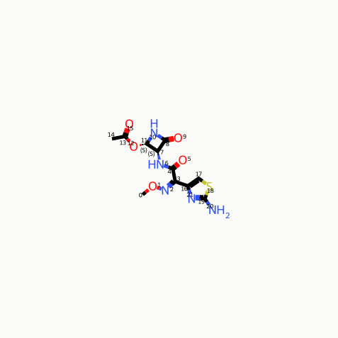 CON=C(C(=O)N[C@@H]1C(=O)N[C@H]1OC(C)=O)c1csc(N)n1